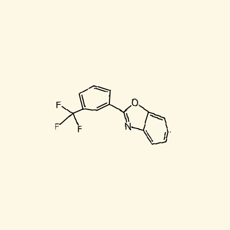 FC(F)(F)c1cccc(-c2nc3cc[c]cc3o2)c1